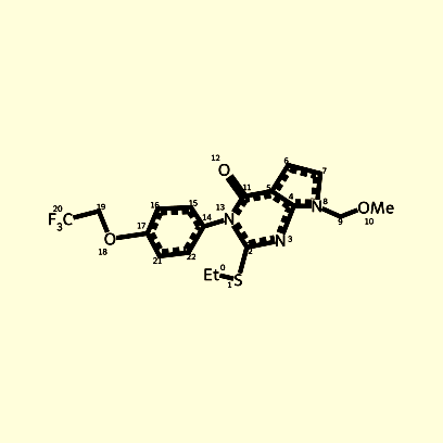 CCSc1nc2c(ccn2COC)c(=O)n1-c1ccc(OCC(F)(F)F)cc1